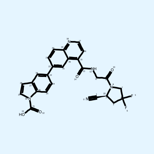 N#C[C@@H]1CC(F)(F)CN1C(=O)CNC(=O)c1ccnc2ccc(-c3ccc4c(ccn4C(=O)O)c3)cc12